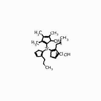 CCCC1=[C]([Zr]([C]2=C(CCC)C=CC2)[C]2=C(C)C(C)=C(C)C2C)CC=C1.Cl.Cl